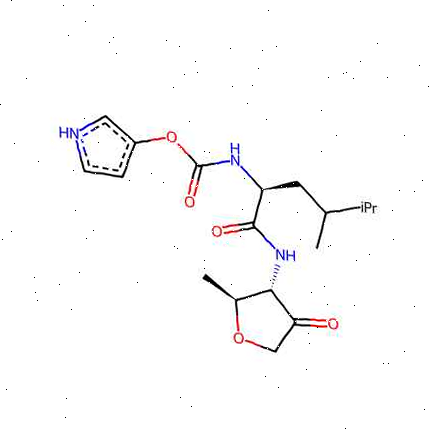 CC(C)C(C)C[C@H](NC(=O)Oc1cc[nH]c1)C(=O)N[C@@H]1C(=O)CO[C@H]1C